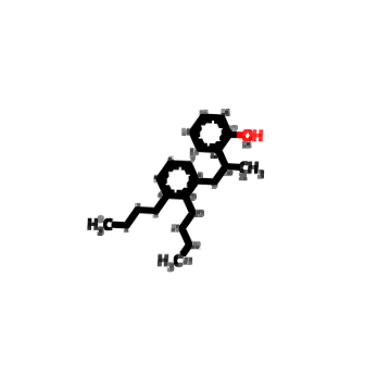 CCCCc1cccc(CC(C)c2ccccc2O)c1CCCC